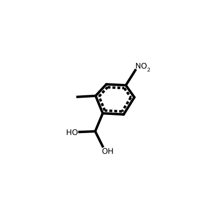 Cc1cc([N+](=O)[O-])ccc1C(O)O